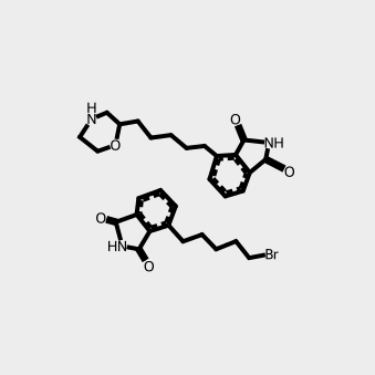 O=C1NC(=O)c2c(CCCCCBr)cccc21.O=C1NC(=O)c2c(CCCCCC3CNCCO3)cccc21